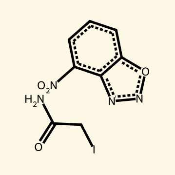 NC(=O)CI.O=[N+]([O-])c1cccc2onnc12